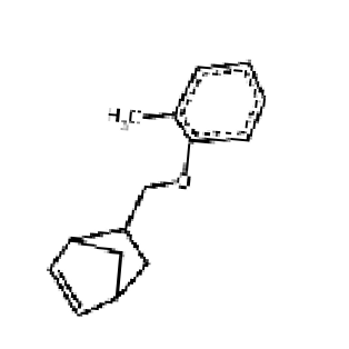 Cc1ccccc1OCC1CC2C=CC1C2